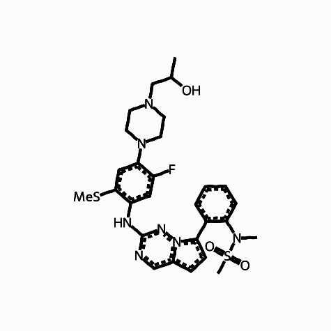 CSc1cc(N2CCN(CC(C)O)CC2)c(F)cc1Nc1ncc2ccc(-c3ccccc3N(C)S(C)(=O)=O)n2n1